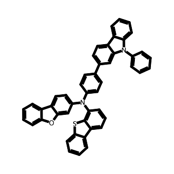 c1ccc(-n2c3ccccc3c3ccc(-c4ccc(N(c5ccc6c(c5)oc5ccccc56)c5cccc6c5sc5ccccc56)cc4)cc32)cc1